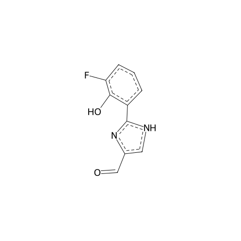 O=Cc1c[nH]c(-c2cccc(F)c2O)n1